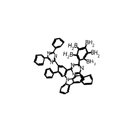 Bc1c(B)c(B)c(-c2nc(-c3ccccc3)nc(-c3cc(-c4nc(-c5ccccc5)nc(-c5ccccc5)n4)c(-c4ccccc4)cc3-n3c4ccccc4c4ccccc43)n2)c(B)c1B